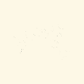 N#C[C@@H]1C[C@H](F)CN1C(=O)CN1CC[C@H](Nc2ccc(NC(=O)c3ccccc3)c3ncccc23)C1